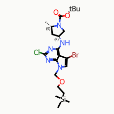 C[C@H]1C[C@@H](Nc2nc(Cl)nc3c2c(Br)cn3COCC[Si](C)(C)C)CN1C(=O)OC(C)(C)C